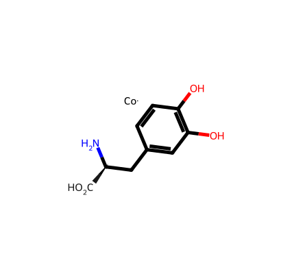 N[C@@H](Cc1ccc(O)c(O)c1)C(=O)O.[Co]